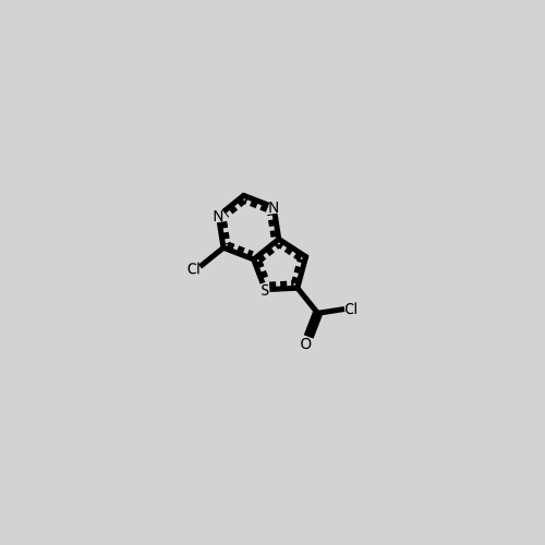 O=C(Cl)c1cc2ncnc(Cl)c2s1